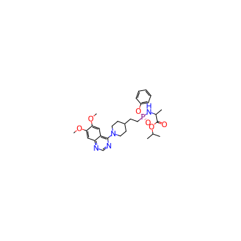 COc1cc2ncnc(N3CCC(CCP(=O)(NC(C)C(=O)OC(C)C)Oc4ccccc4)CC3)c2cc1OC